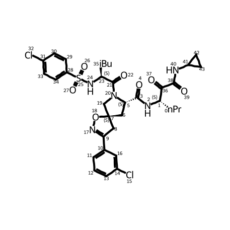 CCC[C@H](NC(=O)[C@@H]1C[C@]2(CC(c3cccc(Cl)c3)=NO2)CN1C(=O)[C@@H](NS(=O)(=O)c1ccc(Cl)cc1)C(C)CC)C(=O)C(=O)NC1CC1